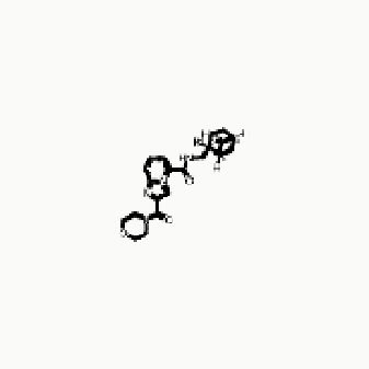 CC1(C)[C@H]2CC[C@@H](CNC(=O)c3cccc4nc(C(=O)N5CCOCC5)cn34)[C@H]1C2